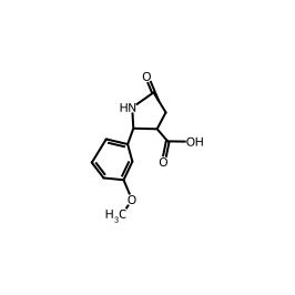 COc1cccc(C2NC(=O)CC2C(=O)O)c1